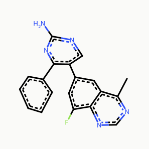 Cc1ncnc2c(F)cc(-c3cnc(N)nc3-c3ccccc3)cc12